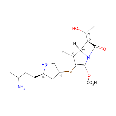 CC(N)CC[C@@H]1C[C@H](SC2=C(OC(=O)O)N3C(=O)[C@H]([C@@H](C)O)[C@@H]3[C@H]2C)CN1